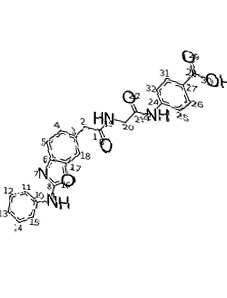 O=C(Cc1ccc2nc(Nc3ccccc3)oc2c1)NCC(=O)Nc1ccc(C(=O)O)cc1